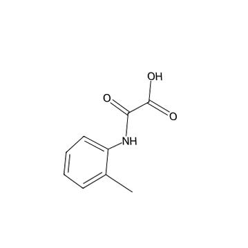 Cc1ccccc1NC(=O)C(=O)O